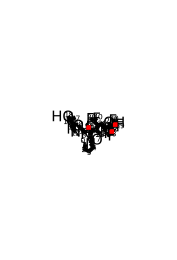 C[C@H]1CCCN1C(=O)c1nc(-c2nnc(C(C)(C)O)o2)sc1-c1cnc(C(O)(C(F)(F)F)C(F)(F)F)cc1C(F)(F)F